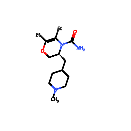 CCC1=C(CC)N(C(N)=O)[C@H](CC2CCN(C)CC2)CO1